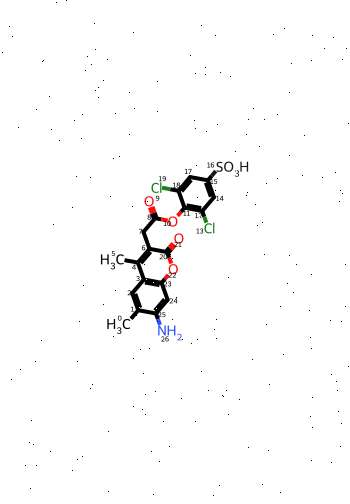 Cc1cc2c(C)c(CC(=O)Oc3c(Cl)cc(S(=O)(=O)O)cc3Cl)c(=O)oc2cc1N